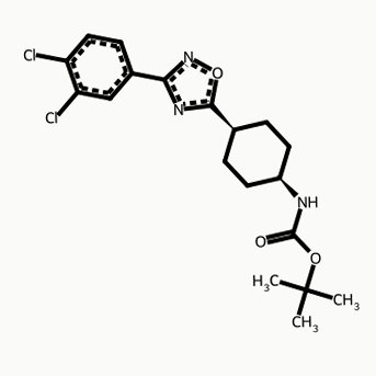 CC(C)(C)OC(=O)N[C@H]1CC[C@@H](c2nc(-c3ccc(Cl)c(Cl)c3)no2)CC1